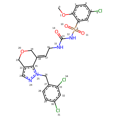 COc1ccc(Cl)cc1S(=O)(=O)NC(=O)NC/C=C1\COCc2cnn(Cc3ccc(Cl)cc3Cl)c21